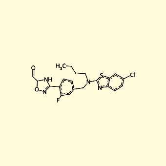 CCCCN(Cc1ccc(C2=NOC(C=O)N2)c(F)c1)c1nc2ccc(Cl)cc2s1